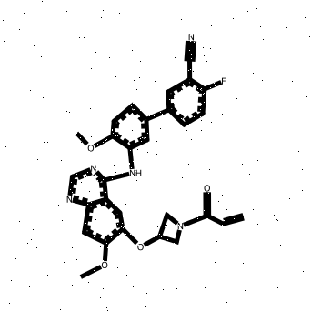 C=CC(=O)N1CC(Oc2cc3c(Nc4cc(-c5ccc(F)c(C#N)c5)ccc4OC)ncnc3cc2OC)C1